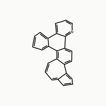 c1cc2cccc3c(ccc4c5ncccc5c5ccccc5c34)c-2c1